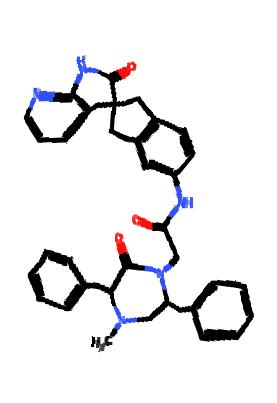 CN1CC(c2ccccc2)N(CC(=O)Nc2ccc3c(c2)CC2(C3)C(=O)Nc3ncccc32)C(=O)C1c1ccccc1